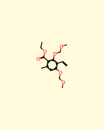 C=Cc1c(OCOC)cc(C)c(C(=O)OCC)c1OCOC